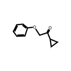 O=C(COc1ccccc1)C1CC1